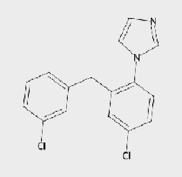 Clc1cccc(Cc2cc(Cl)ccc2-n2ccnc2)c1